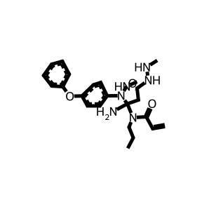 C=CC(=O)N(CCC)C(N)(CC(=O)NNC)N(NC)c1ccc(Oc2ccccc2)cc1